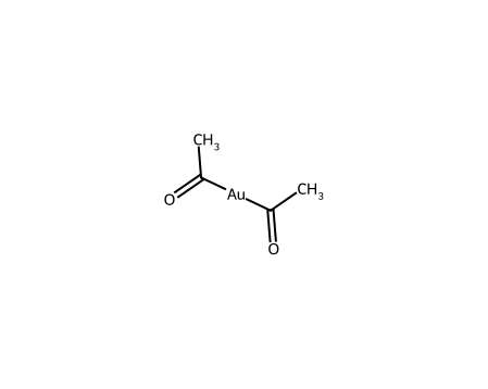 C[C](=O)[Au][C](C)=O